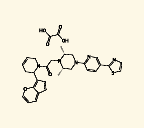 C[C@@H]1CN(c2ccc(-c3nccs3)cn2)C[C@H](C)N1CC(=O)N1CC=CCC1c1ccc2cccoc1-2.O=C(O)C(=O)O